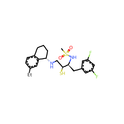 CCc1ccc2c(c1)[C@@H](NC[C@H](S)[C@H](Cc1cc(F)cc(F)c1)NS(C)(=O)=O)CCC2